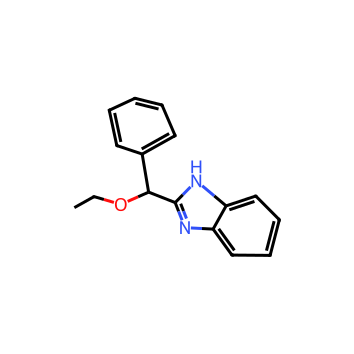 CCOC(c1ccccc1)c1nc2ccccc2[nH]1